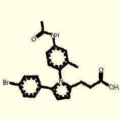 CC(=O)Nc1ccc(-n2c(CCC(=O)O)ccc2-c2ccc(Br)cc2)c(C)c1